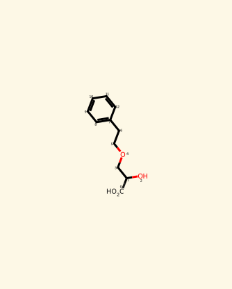 O=C(O)C(O)COCCc1ccccc1